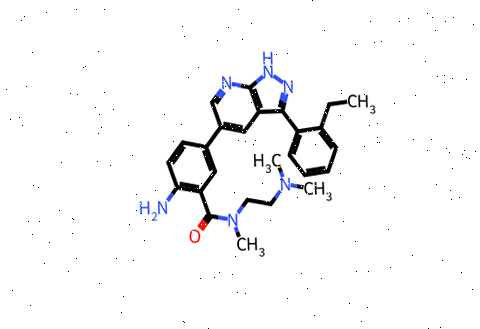 CCc1ccccc1-c1n[nH]c2ncc(-c3ccc(N)c(C(=O)N(C)CCN(C)C)c3)cc12